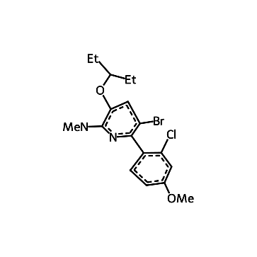 CCC(CC)Oc1cc(Br)c(-c2ccc(OC)cc2Cl)nc1NC